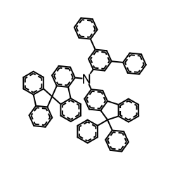 c1ccc(-c2cc(-c3ccccc3)cc(N(c3ccc4c(c3)-c3ccccc3C4(c3ccccc3)c3ccccc3)c3cccc4c3-c3ccccc3C43c4ccccc4-c4ccccc43)c2)cc1